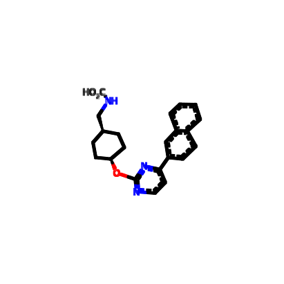 O=C(O)NC[C@H]1CC[C@@H](Oc2nccc(-c3ccc4ccccc4c3)n2)CC1